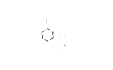 CC(C)(C)S(=O)(=O)c1cccc(F)c1